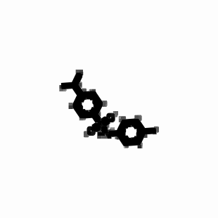 [CH2]c1ccc(NS(=O)(=O)c2ccc(C(C)C)cc2)cc1